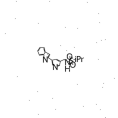 CC(C)S(=O)(=O)NCc1cncc(-c2cc3ccccc3n2C)c1